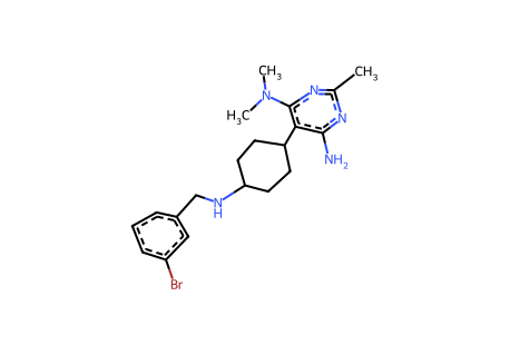 Cc1nc(N)c(C2CCC(NCc3cccc(Br)c3)CC2)c(N(C)C)n1